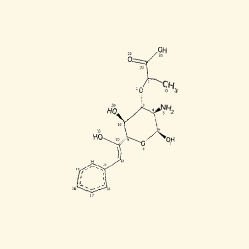 CC(O[C@@H]1[C@@H](N)[C@@H](O)O[C@H](C(O)=Cc2ccccc2)[C@H]1O)C(=O)O